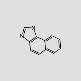 C1=Nc2ccc3ccccc3c2[N]1